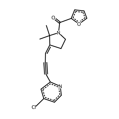 CC1(C)/C(=C/C#Cc2cc(Cl)ccn2)CCN1C(=O)c1ccco1